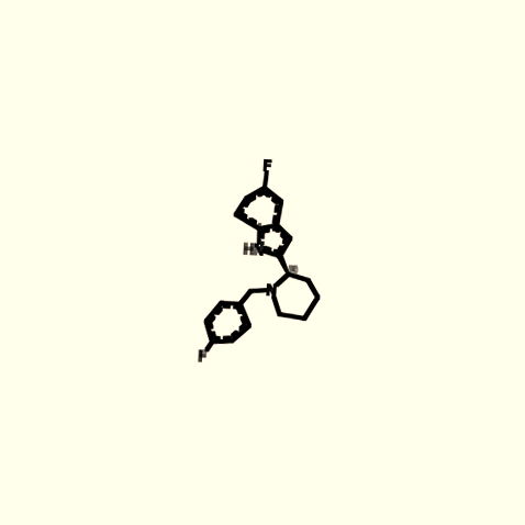 Fc1ccc(CN2CCCC[C@@H]2c2cc3cc(F)ccc3[nH]2)cc1